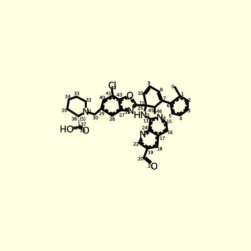 Cc1ccccc1C1=CC=CC(Nc2nccc3cc(C=O)cnc23)(c2nc3cc(CN4CCCC[C@H]4C(=O)O)cc(Cl)c3o2)C1C